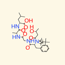 CC(C)CC(NC(=O)C(C)NC(=O)CNC(=O)C(Cc1ccccc1)N(C(=O)CC(C)O)[Si](C)(C)C(C)(C)C)C(=O)O